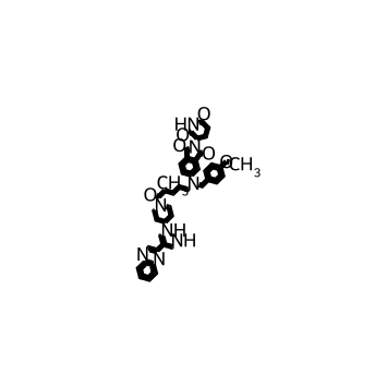 COc1ccc(CN(CCCC(C)C(=O)N2CCC(N/C=C(\C=N)c3cnc4ccccc4n3)CC2)c2ccc3c(c2)C(=O)N(C2CCC(=O)NC2=O)C3=O)cc1